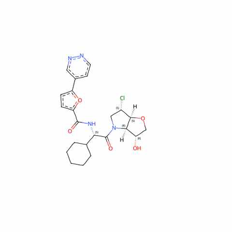 O=C(N[C@H](C(=O)N1C[C@H](Cl)[C@H]2OC[C@H](O)[C@H]21)C1CCCCC1)c1ccc(-c2ccnnc2)o1